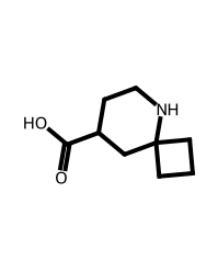 O=C(O)C1CCNC2(CCC2)C1